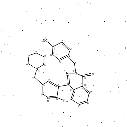 N#Cc1ccc(Cn2nc(C3=CC(CN4CCCCC4)CN=C3F)c3ccccc3c2=O)cc1